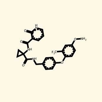 NOc1ccc(Oc2ccc(CNC(=O)C3(NC(=O)c4ccc[nH]c4=O)CC3)cc2)c(C(F)(F)F)c1